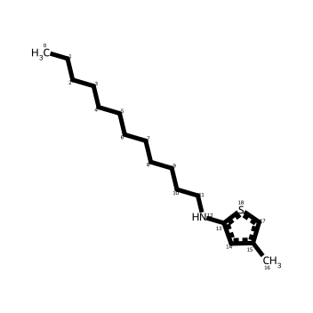 CCCCCCCCCCCCNc1cc(C)cs1